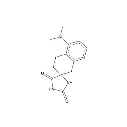 CN(C)c1cccc2c1CCC1(C2)NC(=O)NC1=O